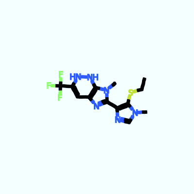 CCSc1c(-c2nc3c(n2C)NNC(C(F)(F)F)=C3)ncn1C